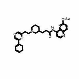 COc1ccc2nccc(NC(=O)CCC3CCCN(CCC4=COC=C(C5=CC=CCC5)O4)C3)c2n1